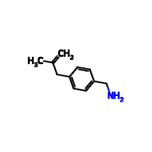 C=C(C)Cc1ccc(CN)cc1